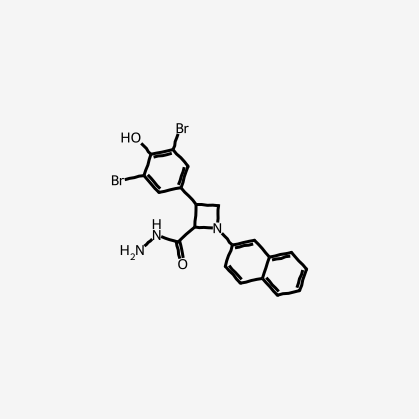 NNC(=O)C1C(c2cc(Br)c(O)c(Br)c2)CN1c1ccc2ccccc2c1